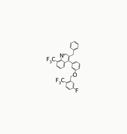 Fc1ccc(C(F)(F)F)c(COc2cccc(-c3c(Cc4ccccc4)cnc4c(C(F)(F)F)cccc34)c2)c1